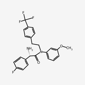 COc1cccc(N(CCc2ccc(C(F)(F)F)cc2)C(=O)[C@@H](N)c2ccc(F)cc2)c1